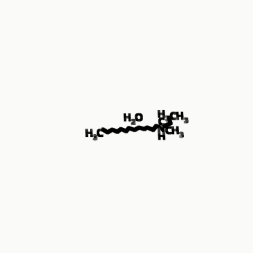 CCCCCCCCCCCCCCNC(C)(C)CCC.O